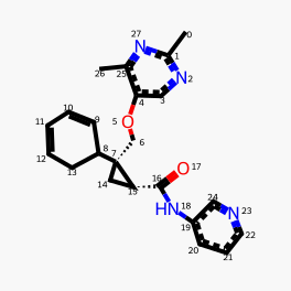 Cc1ncc(OC[C@@]2(C3C=CC=CC3)C[C@H]2C(=O)Nc2cccnc2)c(C)n1